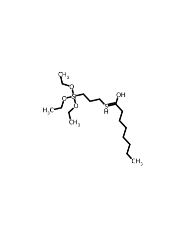 CCCCCCCC(O)=[SH]CCC[Si](OCC)(OCC)OCC